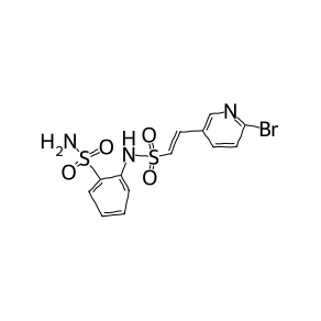 NS(=O)(=O)c1ccccc1NS(=O)(=O)C=Cc1ccc(Br)nc1